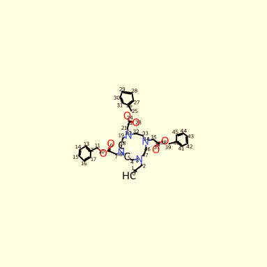 C#CCN1CCN(CC(=O)OCc2ccccc2)CCN(CC(=O)OCc2ccccc2)CCN(CC(=O)OCc2ccccc2)CC1